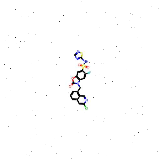 O=c1oc2cc(S(=O)(=O)Nc3ncns3)c(F)cc2n1Cc1cccc2cc(Cl)ncc12